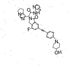 O=C(Nc1nccs1)C(c1ncn2c1CCC2)N1Cc2c(F)cc(C#Cc3ccc(CN4CCC(O)CC4)cc3)cc2C1=O